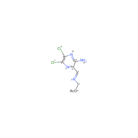 CC(=O)OCN=Cc1nc(Cl)c(Cl)nc1N